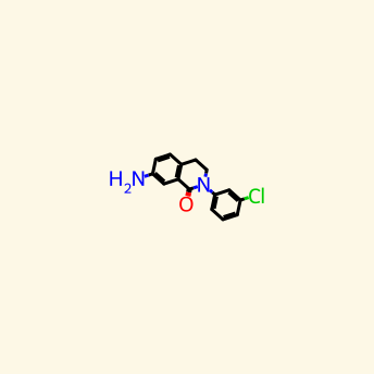 Nc1ccc2c(c1)C(=O)N(c1cccc(Cl)c1)CC2